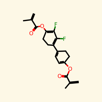 C=C(C)C(=O)OC1=CC=C(C2=C(F)C(F)=C(OC(=O)C(=C)C)CC2)CC1